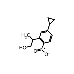 [CH2]C(CO)c1cc(C2CC2)ccc1[N+](=O)[O-]